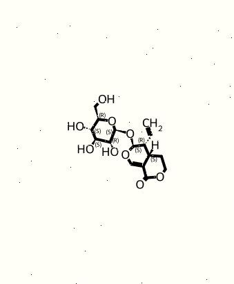 C=C[C@H]1[C@H](O[C@@H]2O[C@H](CO)[C@@H](O)[C@H](O)[C@H]2O)OC=C2C(=O)OCC[C@H]21